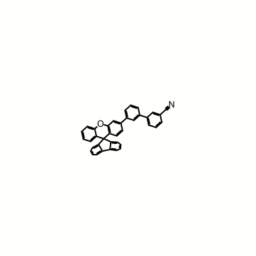 N#Cc1cccc(-c2cccc(-c3ccc4c(c3)Oc3ccccc3C43c4ccccc4-c4ccccc43)c2)c1